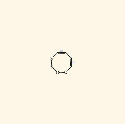 C1=C\OOSS\C=C/1